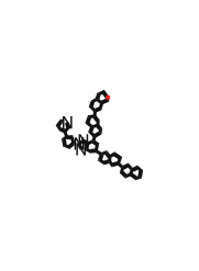 c1cncc(-c2cccc(-n3nc4cc(-c5ccc6cc(-c7ccc8ccccc8c7)ccc6c5)cc(-c5ccc6cc(-c7ccc8ccccc8c7)ccc6c5)c4n3)c2)c1